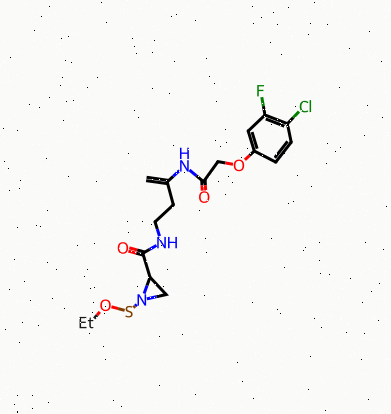 C=C(CCNC(=O)C1CN1SOCC)NC(=O)COc1ccc(Cl)c(F)c1